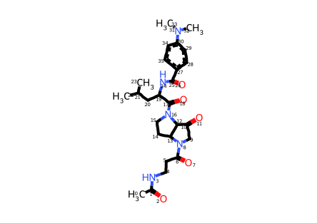 CC(=O)NCCC(=O)N1CC(=O)C2C1CCN2C(=O)C(CC(C)C)NC(=O)c1ccc(N(C)C)cc1